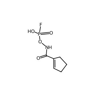 O=C(NOP(=O)(O)F)C1=CCCC1